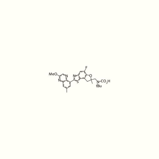 COc1cnc2c(-c3nc4cc(F)c5c(c4s3)CC(C)(CN(C(=O)O)C(C)(C)C)O5)cc(C)cc2n1